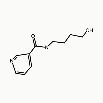 O=C([N]CCCCO)c1cccnc1